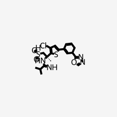 CC(C)C(=N)N[C@@](C)(C[SH](=O)=O)c1sc(C2=CC(c3nnco3)CC=C2)cc1Cl